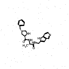 C[C@H](NC(=O)[C@H]1C[C@H](Cc2ccccc2)CN1)C(=O)NCc1cc2cnccc2[nH]1